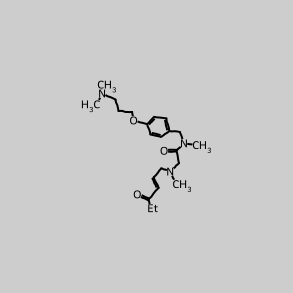 CCC(=O)/C=C/CN(C)CC(=O)N(C)Cc1ccc(OCCCN(C)C)cc1